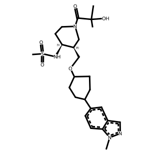 Cn1ncc2cc(C3CCC(OC[C@@H]4CN(C(=O)C(C)(C)O)CC[C@@H]4NS(C)(=O)=O)CC3)ccc21